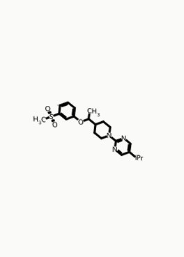 CC(C)c1cnc(N2CCC(C(C)Oc3cc[c]c(S(C)(=O)=O)c3)CC2)nc1